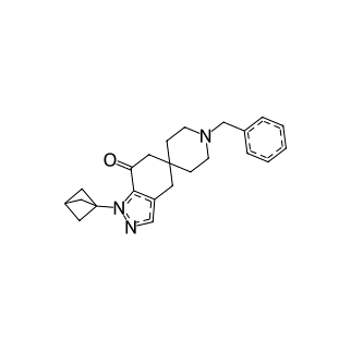 O=C1CC2(CCN(Cc3ccccc3)CC2)Cc2cnn(C34CC(C3)C4)c21